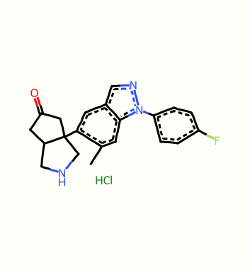 Cc1cc2c(cnn2-c2ccc(F)cc2)cc1C12CNCC1CC(=O)C2.Cl